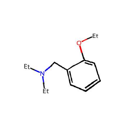 CCOc1ccccc1CN(CC)CC